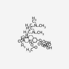 CC(=O)Oc1cc(OS(=O)(=O)O)cc2c1[C@H]1CC[C@]3(C)C(=O)CC[C@H]3[C@@H]1CC2.CCN(CC)CC.CCN(CC)CC.O=S(=O)(O)O